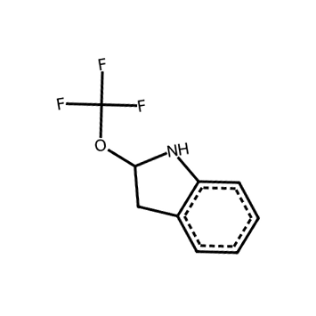 FC(F)(F)OC1Cc2ccccc2N1